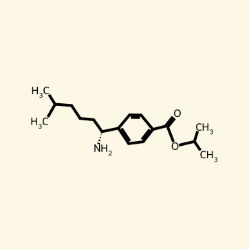 CC(C)CCC[C@@H](N)c1ccc(C(=O)OC(C)C)cc1